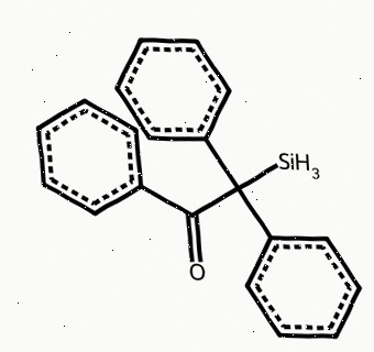 O=C(c1ccccc1)C([SiH3])(c1ccccc1)c1ccccc1